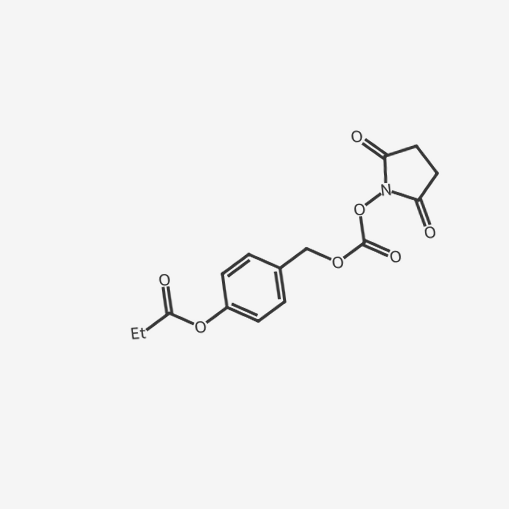 CCC(=O)Oc1ccc(COC(=O)ON2C(=O)CCC2=O)cc1